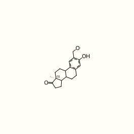 C[C@]12CCC3c4cc(C[O])c(O)cc4CCC3C1CCC2=O